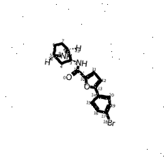 O=C(N[C@@H]1C[C@H]2CC[C@@H]1N2)c1ccc(-c2ccc(Br)cc2)o1